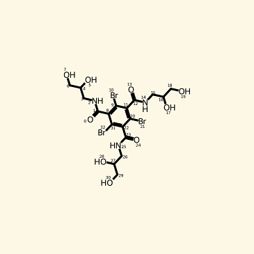 O=C(NCC(O)CO)c1c(Br)c(C(=O)NCC(O)CO)c(Br)c(C(=O)NCC(O)CO)c1Br